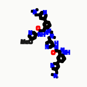 COc1cncc(NC(=O)c2nn(CN(C)Cc3cncc(NC(=O)c4n[nH]c5ccc(-c6cncc(CN(C)C)c6)cc45)c3)c3ccc(-c4cncc(CN(C)C)c4)cc23)c1